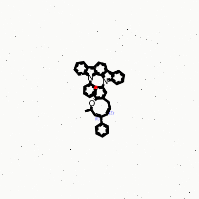 CC1/C=C(c2ccccc2)\C=C/Cc2cc(-n3c4ccccc4c4ccc5c6ccccc6n(-c6ccccc6)c5c43)ccc2O1